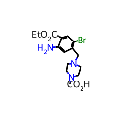 CCOC(=O)c1cc(Br)c(CN2CCN(C(=O)O)CC2)cc1N